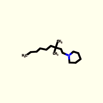 CCCCCCC(C)(C)CCN1CCCCC1